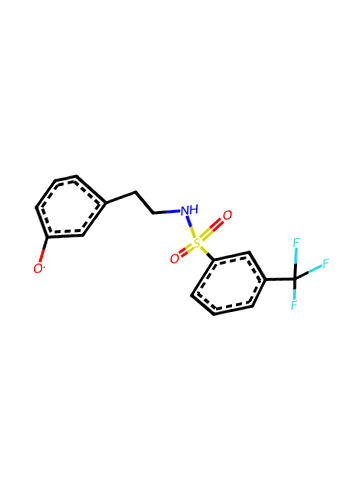 [O]c1cccc(CCNS(=O)(=O)c2cccc(C(F)(F)F)c2)c1